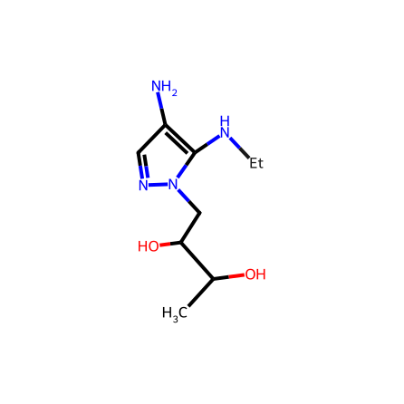 CCNc1c(N)cnn1CC(O)C(C)O